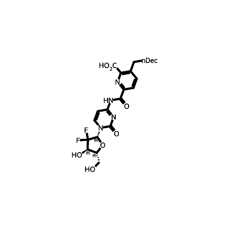 CCCCCCCCCCCc1ccc(C(=O)Nc2ccn([C@@H]3O[C@H](CO)[C@@H](O)C3(F)F)c(=O)n2)nc1C(=O)O